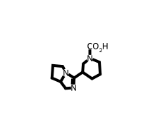 O=C(O)N1CCCC(C2=NCC3CCCN23)C1